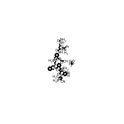 C#CCOCc1cc(NC(=O)C(CCCNC(N)=O)NC(=O)C(N)C(C)C)ccc1C[N+](C)(C)CCC[C@@H]1Cc2ccccc2CN1C(=O)c1ccc(Cl)cc1-c1cc(C(=O)N(c2ccc(O)cc2)c2cc(C#N)n(C)c2C)c(C)n1C.O=C([O-])C(F)(F)F